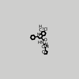 Cc1c(Cl)ccc2c(C(=O)Nc3nnc(-c4ccco4)o3)cc(-c3ccccc3)nc12